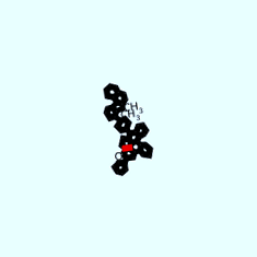 CC1(C)c2ccc3ccccc3c2-c2cccc(-c3ccc(-c4c5ccccc5c(-c5ccccc5-c5ccc6oc7ccccc7c6c5)c5ccccc45)cc3)c21